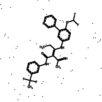 CC/C(Nc1ccc(OC(F)F)c(-c2cccnc2)c1)=C(/C(C)=N)C(=O)Nc1cccc(C(C)(F)F)c1